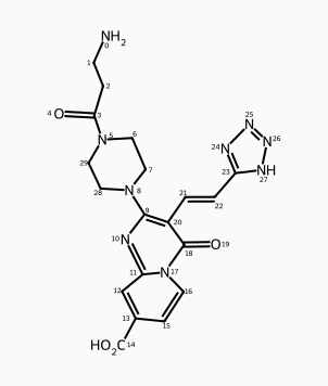 NCCC(=O)N1CCN(c2nc3cc(C(=O)O)ccn3c(=O)c2C=Cc2nnn[nH]2)CC1